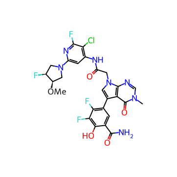 CO[C@@H]1CN(c2cc(NC(=O)Cn3cc(-c4cc(C(N)=O)c(O)c(F)c4F)c4c(=O)n(C)cnc43)c(Cl)c(F)n2)C[C@@H]1F